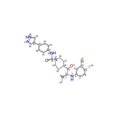 O=C(/C(=N/I)Nc1ccc(F)c(Br)c1)C1CCN(C(=O)Nc2ccc(-c3cn[nH]c3)cc2)CC1